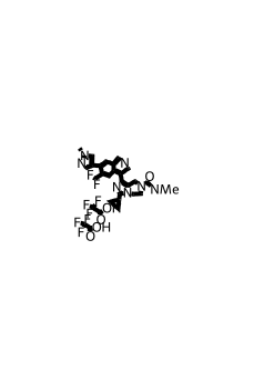 CNC(=O)N1CCn2c(C3CC3)nc(-c3cncc4cc(-c5cnn(C)c5)c(C(F)F)cc34)c2C1.O=C(O)C(F)(F)F.O=C(O)C(F)(F)F